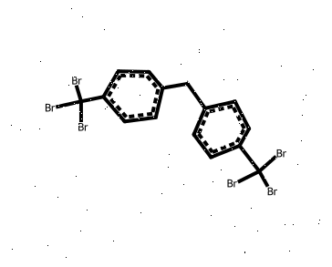 BrC(Br)(Br)c1ccc([CH]c2ccc(C(Br)(Br)Br)cc2)cc1